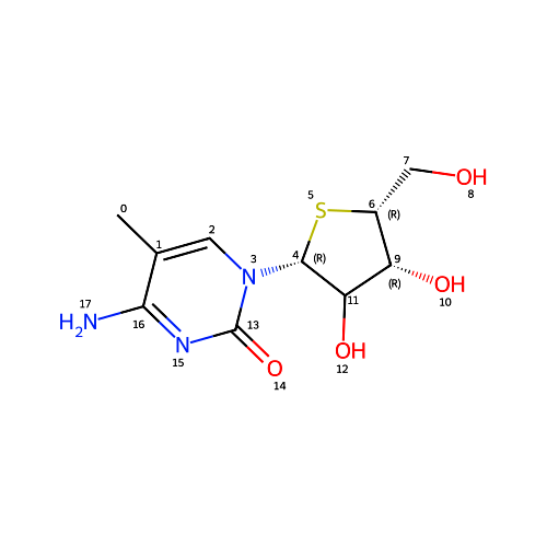 Cc1cn([C@@H]2S[C@H](CO)[C@H](O)C2O)c(=O)nc1N